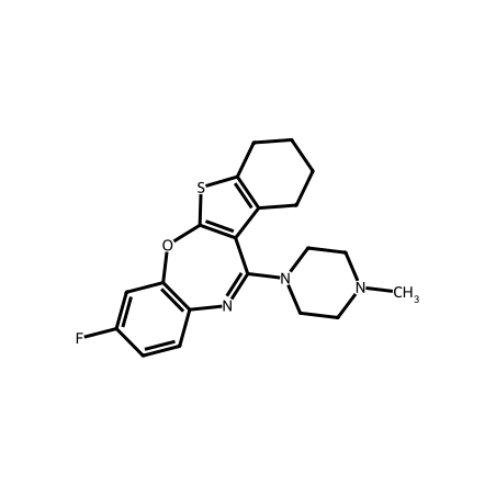 CN1CCN(C2=Nc3ccc(F)cc3Oc3sc4c(c32)CCCC4)CC1